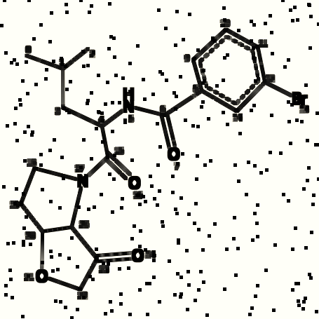 CC(C)CC(NC(=O)c1cccc(Br)c1)C(=O)N1CCC2OCC(=O)C21